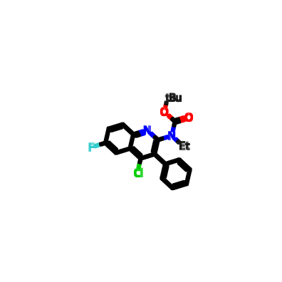 CCN(C(=O)OC(C)(C)C)c1nc2ccc(F)cc2c(Cl)c1-c1ccccc1